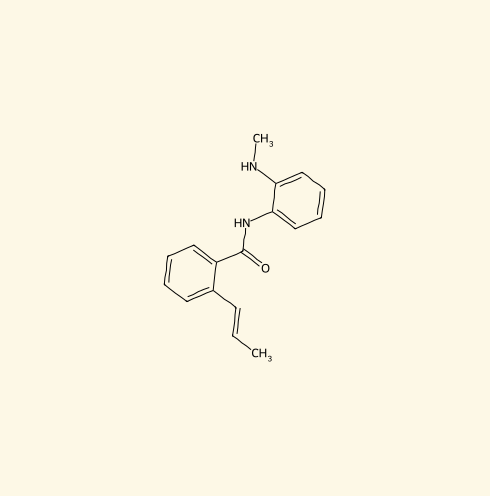 CC=Cc1ccccc1C(=O)Nc1ccccc1NC